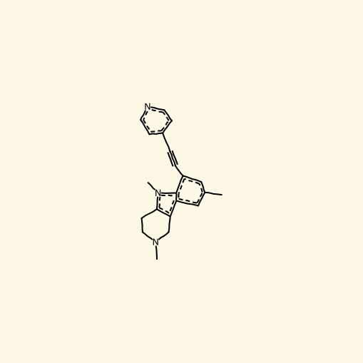 Cc1cc(C#Cc2ccncc2)c2c(c1)c1c(n2C)CCN(C)C1